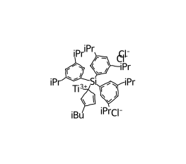 CCC(C)C1=C[C]([Ti+3])([Si](c2cc(C(C)C)cc(C(C)C)c2)(c2cc(C(C)C)cc(C(C)C)c2)c2cc(C(C)C)cc(C(C)C)c2)C=C1.[Cl-].[Cl-].[Cl-]